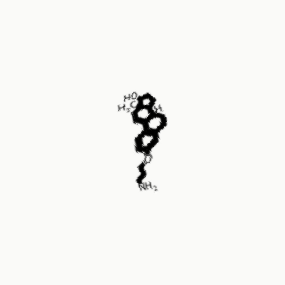 CC12CCC3c4ccc(OCCCN)cc4CC[C@@H]3C1CCC2O